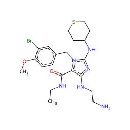 CCNC(=O)c1c(NCCN)nc(NC2CCSCC2)n1Cc1ccc(OC)c(Br)c1